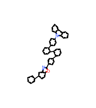 c1ccc(-c2ccc3oc(-c4ccc(-c5ccccc5-c5ccccc5-c5ccc(-n6c7ccccc7c7ccccc76)cc5)cc4)nc3c2)cc1